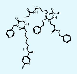 C[C@H](CCCOP(=O)(O)N[C@@H](CCC(=O)OCc1ccccc1)C(=O)OCc1ccccc1)NC(=O)CC[C@H](NC(=O)CCCCCNC(=O)c1ccc(F)nc1)C(=O)OCc1ccccc1